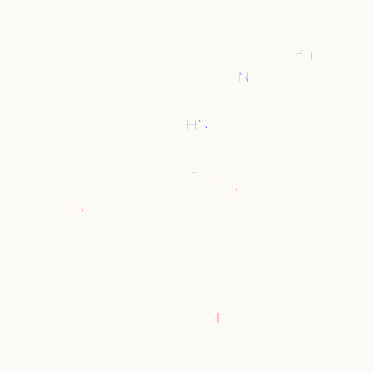 CC(C)(C)NC(=S)NC(=O)Cc1cc(O)ccc1O